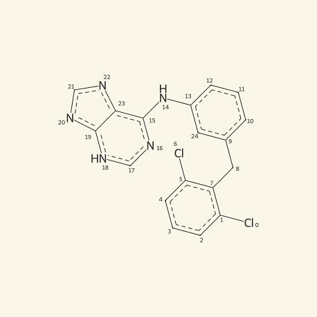 Clc1cccc(Cl)c1Cc1cccc(Nc2nc[nH]c3ncnc2-3)c1